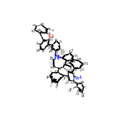 C=C1CC(c2ccccc2C2=CC(c3ccccc3)NC(c3ccccc3)=C2)/C=C\N(c2cccc(-c3cccc4c3OC3C=CC=CC43)c2)c2ccccc21